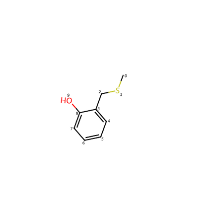 CSCc1ccccc1O